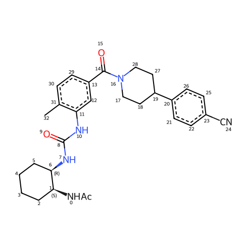 CC(=O)N[C@H]1CCCC[C@H]1NC(=O)Nc1cc(C(=O)N2CCC(c3ccc(C#N)cc3)CC2)ccc1C